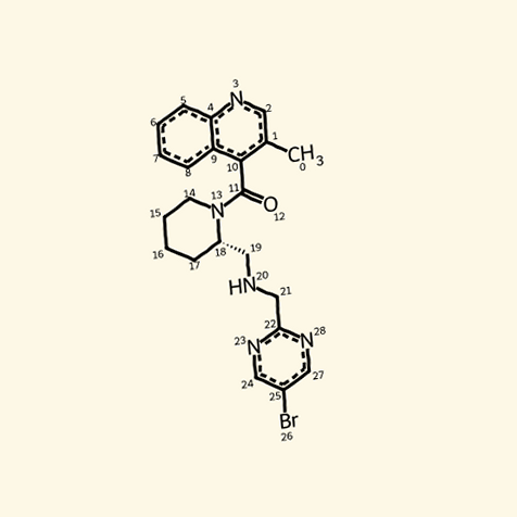 Cc1cnc2ccccc2c1C(=O)N1CCCC[C@H]1CNCc1ncc(Br)cn1